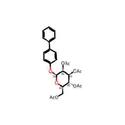 CC(=O)OC[C@H]1O[C@@H](Oc2ccc(-c3cc[c]cc3)cc2)[C@@H](OC(C)=O)[C@@H](OC(C)=O)[C@@H]1OC(C)=O